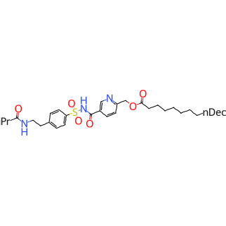 CCCCCCCCCCCCCCCCCC(=O)OCc1ccc(C(=O)NS(=O)(=O)c2ccc(CCNC(=O)C(C)C)cc2)cn1